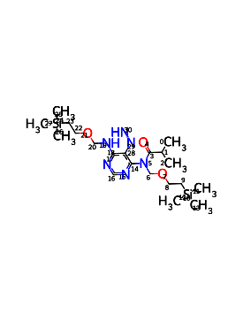 CC(C)C(=O)N(COCC[Si](C)(C)C)c1ncnc(NCOCC[Si](C)(C)C)c1N=N